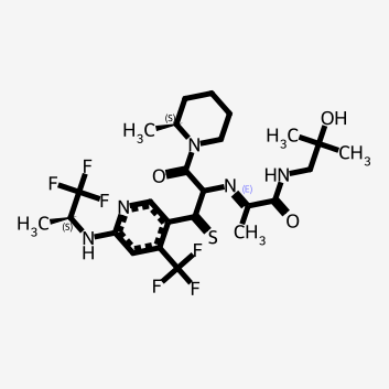 C/C(=N\C(C(=O)N1CCCC[C@@H]1C)C(=S)c1cnc(N[C@@H](C)C(F)(F)F)cc1C(F)(F)F)C(=O)NCC(C)(C)O